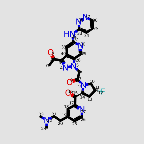 CC(=O)c1nn(CC(=O)N2C[C@H](F)C[C@H]2C(=O)c2cc(CCN(C)C)ccn2)c2cnc(Nc3cccnn3)cc12